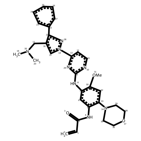 C=CC(=O)Nc1cc(Nc2nccc(-n3cc(CN(C)C)c(-c4ccccc4)n3)n2)c(OC)cc1N1CCOCC1